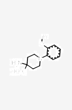 CC(C)Oc1ccccc1N1CCC(N)(C(=O)O)CC1